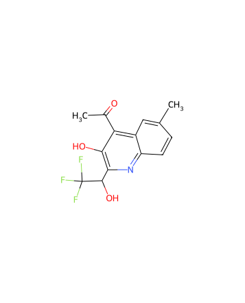 CC(=O)c1c(O)c(C(O)C(F)(F)F)nc2ccc(C)cc12